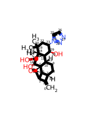 C=C1C2C(=O)[C@]34[C@H]2[C@H]1CC[C@H]3[C@@]12CO[C@]4(O)[C@@H](O)[C@@H]1C(C)(C)C[C@H](n1ccnn1)[C@H]2O